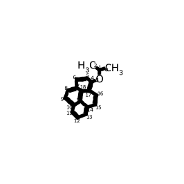 CC(C)Oc1ccc2ccc3cccc4ccc1c2c34